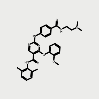 COc1ccccc1Oc1nc(Nc2ccc(C(=O)NCCN(C)C)cc2)ncc1C(=O)Nc1c(C)cccc1C